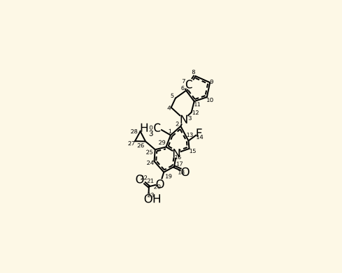 Cc1c(N2CCc3ccccc3C2)c(F)cn2c(=O)c(OC(=O)O)cc(C3CC3)c12